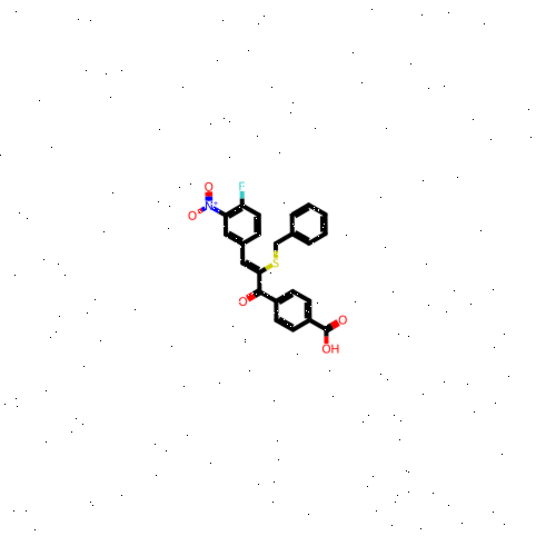 O=C(O)c1ccc(C(=O)C(=Cc2ccc(F)c([N+](=O)[O-])c2)SCc2ccccc2)cc1